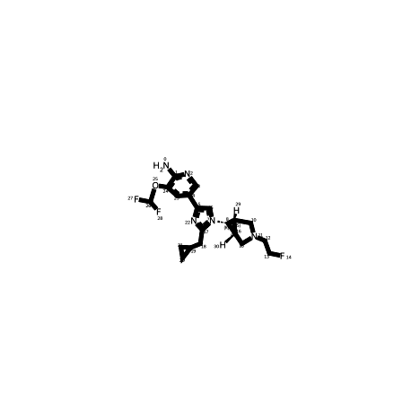 Nc1ncc(-c2cn([C@@H]3[C@@H]4CN(CCF)C[C@@H]43)c(CC3CC3)n2)cc1OC(F)F